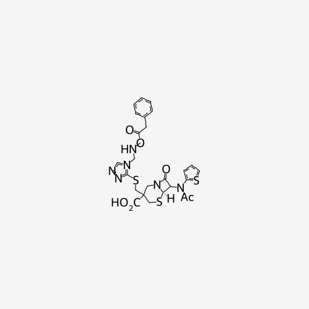 CC(=O)N(c1cccs1)C1C(=O)N2CC(CSc3nncn3CNOC(=O)Cc3ccccc3)(C(=O)O)CS[C@H]12